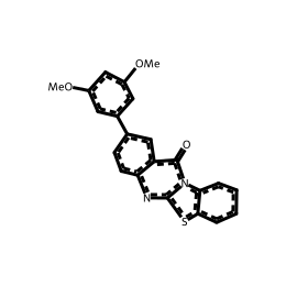 COc1cc(OC)cc(-c2ccc3nc4sc5ccccc5n4c(=O)c3c2)c1